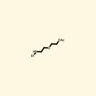 CCNCCOCCOC(C)=O